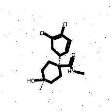 CNC(=O)[C@]1(C2C=CC(Cl)=C(Cl)C2)CC[C@](C)(O)CC1